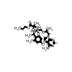 CCCOC(=O)C(C)(C)NP(=O)(COC(C)Cn1cnc2c(N)ncnc21)N[C@H](C)c1ccc(Cl)cc1C